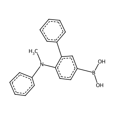 CN(c1ccccc1)c1ccc(B(O)O)cc1-c1ccccc1